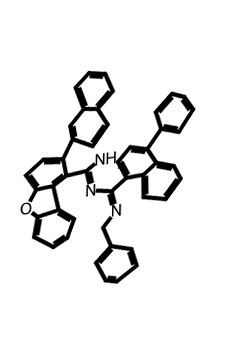 N/C(=N\C(=N/Cc1ccccc1)c1ccc(-c2ccccc2)c2ccccc12)c1c(-c2ccc3ccccc3c2)ccc2oc3ccccc3c12